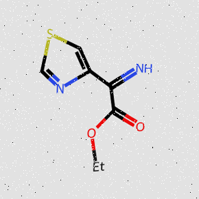 CCOC(=O)C(=N)c1cscn1